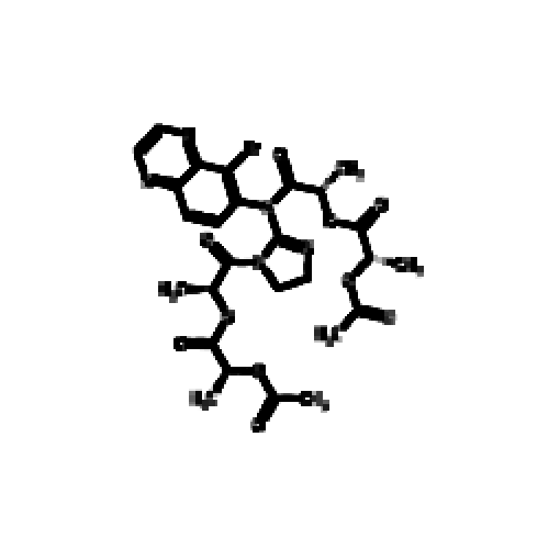 CC(=O)O[C@@H](C)C(=O)O[C@@H](C)C(=O)N1CCN=C1N(C(=O)[C@H](C)OC(=O)[C@H](C)OC(C)=O)c1ccc2nccnc2c1Br